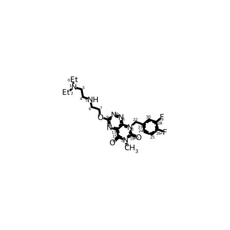 CCN(CC)CCNCCOc1nnc2c(n1)c(=O)n(C)c(=O)n2Cc1ccc(F)c(F)c1